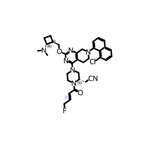 CN(C)[C@@H]1CC[C@H]1COc1nc2c(c(N3CCN(C(=O)/C=C/CF)[C@@H](CC#N)C3)n1)CCN(c1cccc3cccc(Cl)c13)C2